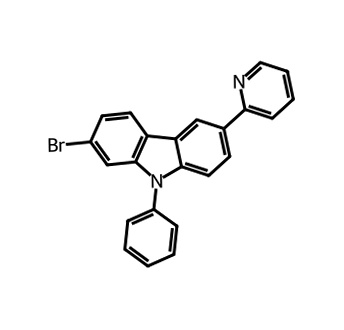 Brc1ccc2c3cc(-c4ccccn4)ccc3n(-c3ccccc3)c2c1